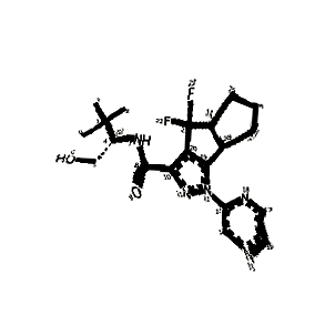 CC(C)(C)[C@@H](CO)NC(=O)c1nn(-c2cnccn2)c2c1C(F)(F)C1CCCC21